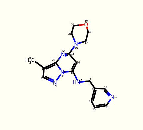 Cc1cnn2c(NCc3cccnc3)cc(N3CCOCC3)nc12